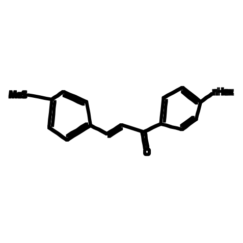 CCCCCCc1ccc(C(=O)C=Cc2ccc(SC)cc2)cc1